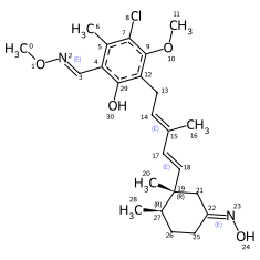 CO/N=C/c1c(C)c(Cl)c(OC)c(C/C=C(C)/C=C/[C@]2(C)C/C(=N/O)CC[C@H]2C)c1O